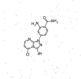 CC(C)c1nn(-c2ccc(C(N)=O)c(N)c2)c2nccc(Cl)c12